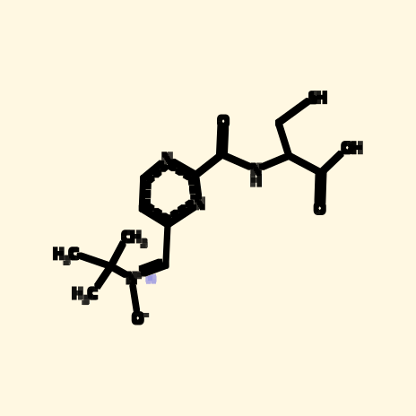 CC(C)(C)/[N+]([O-])=C\c1ccnc(C(=O)NC(CS)C(=O)O)n1